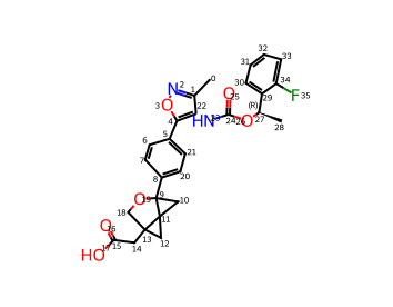 Cc1noc(-c2ccc(C34CC35CC5(CC(=O)O)CO4)cc2)c1NC(=O)O[C@H](C)c1ccccc1F